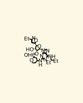 CCc1cc([C@H]2O[C@@H](n3cnc4c(NC(CC)CC)nc(NC5CCOCC5)nc43)[C@H](OC=O)[C@@H]2O)on1